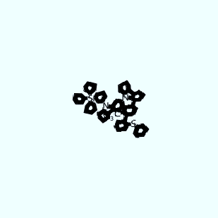 Cc1cc(-c2cccc3c4ccccc4n(-c4ccc5c6ccccc6n(-c6cccc([Si](c7ccccc7)(c7ccccc7)c7ccccc7)c6)c5c4)c23)ccc1-c1ccccc1Sc1ccccc1